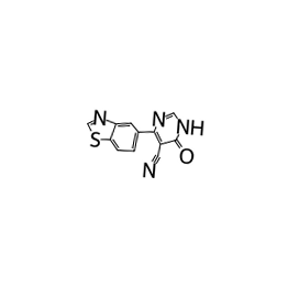 N#Cc1c(-c2ccc3scnc3c2)nc[nH]c1=O